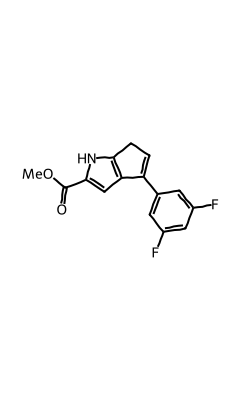 COC(=O)c1cc2c([nH]1)CC=C2c1cc(F)cc(F)c1